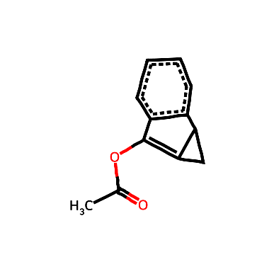 CC(=O)OC1=C2CC2c2ccccc21